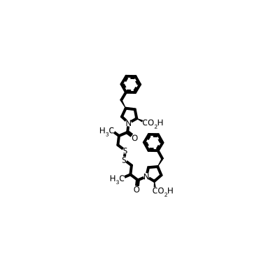 CC(CSSCC(C)C(=O)N1C[C@@H](Cc2ccccc2)C[C@H]1C(=O)O)C(=O)N1C[C@@H](Cc2ccccc2)C[C@H]1C(=O)O